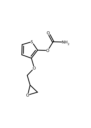 NC(=O)Oc1sccc1OCC1CO1